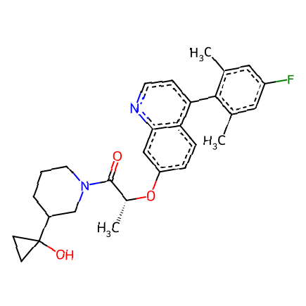 Cc1cc(F)cc(C)c1-c1ccnc2cc(O[C@H](C)C(=O)N3CCCC(C4(O)CC4)C3)ccc12